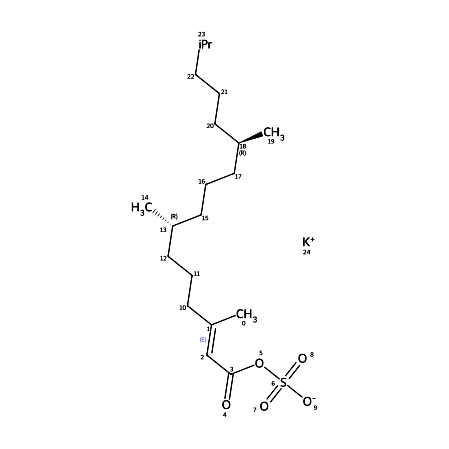 C/C(=C\C(=O)OS(=O)(=O)[O-])CCC[C@H](C)CCC[C@H](C)CCCC(C)C.[K+]